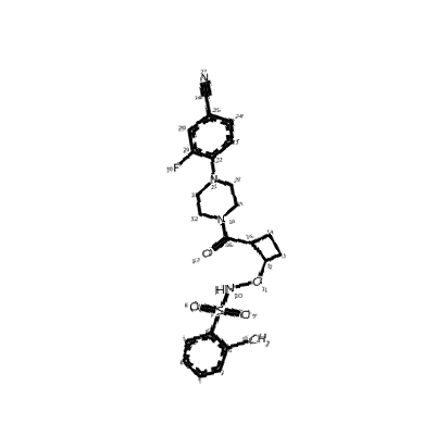 Cc1ccccc1S(=O)(=O)NOC1CCC1C(=O)N1CCN(c2ccc(C#N)cc2F)CC1